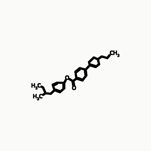 CCCC1CC=C(c2ccc(C(=O)Oc3ccc(CC(C)CC)cc3)cc2)CC1